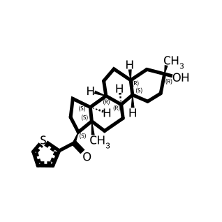 C[C@@]1(O)CC[C@H]2[C@H](CC[C@@H]3[C@@H]2CC[C@]2(C)[C@@H](C(=O)c4cccs4)CC[C@@H]32)C1